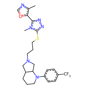 Cc1ncoc1-c1nnc(SCCCN2CC3CCCN(c4ccc(C(F)(F)F)cc4)C3C2)n1C